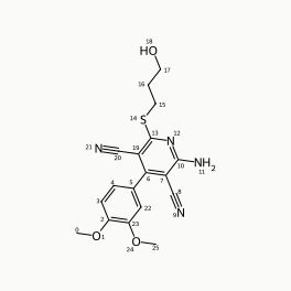 COc1ccc(-c2c(C#N)c(N)nc(SCCCO)c2C#N)cc1OC